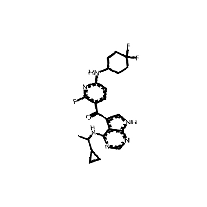 CC(Nc1ncnc2[nH]cc(C(=O)c3ccc(NC4CCC(F)(F)CC4)nc3F)c12)C1CC1